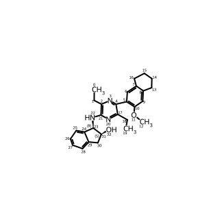 CCc1nc(-c2cc3c(cc2OC)CCCC3)c(CC)nc1N[C@@H]1c2ccccc2C[C@@H]1O